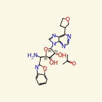 CC(C)=O.NC(c1nc2ccccc2o1)[C@H]1O[C@@H](n2cnc3c(C4CCOC4)ncnc32)[C@@H](O)[C@H]1O